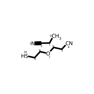 CCC#N.N#CCCOCCS